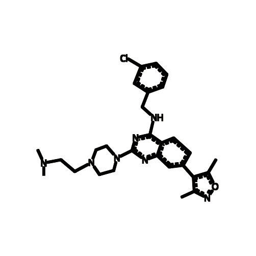 Cc1noc(C)c1-c1ccc2c(NCc3cccc(Cl)c3)nc(N3CCN(CCN(C)C)CC3)nc2c1